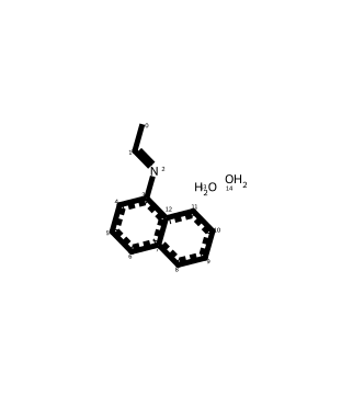 CC=Nc1cccc2ccccc12.O.O